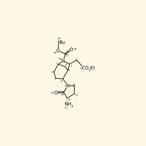 CCOC(=O)CC1C2CC(CCC2N2CC[C@H](N)C2=O)N1C(=O)OC(C)(C)C